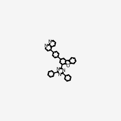 c1ccc(-c2nc(-c3ccccc3)nc(-c3cc(-c4ccc(-c5ccnc6ncccc56)cc4)cc4c3oc3ccccc34)n2)cc1